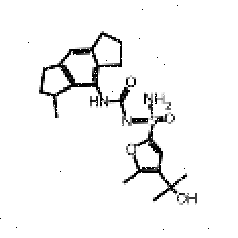 Cc1oc([S@@](N)(=O)=NC(=O)Nc2c3c(cc4c2C(C)CC4)CCC3)cc1C(C)(C)O